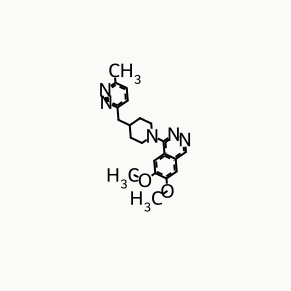 COc1cc2cnnc(N3CCC(Cc4ccc(C)nn4)CC3)c2cc1OC